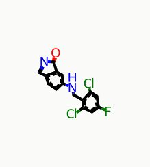 O=C1N=Cc2ccc(NCc3c(Cl)cc(F)cc3Cl)cc21